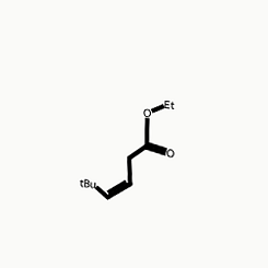 CCOC(=O)C/C=C\C(C)(C)C